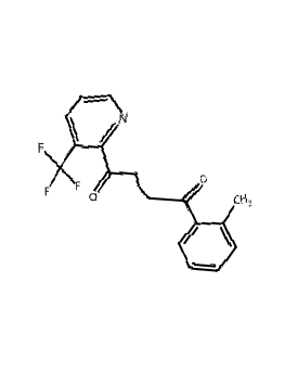 Cc1ccccc1C(=O)CCC(=O)c1ncccc1C(F)(F)F